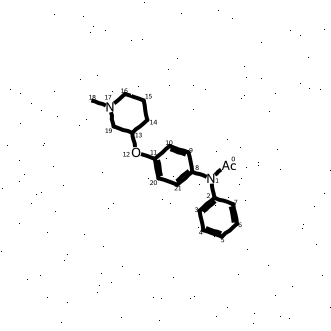 CC(=O)N(c1ccccc1)c1ccc(OC2CCCN(C)C2)cc1